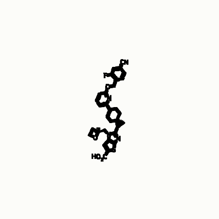 N#Cc1ccc(COc2cccc(C3=CCC4(CC3)CC4c3nc4sc(C(=O)O)cc4n3C[C@@H]3CCO3)n2)c(F)c1